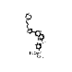 CC(C)Oc1cnnc(Nc2ccc3ncc(-c4cnn(CCCN5CCOCC5)c4)cc3n2)c1